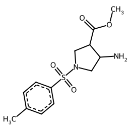 COC(=O)C1CN(S(=O)(=O)c2ccc(C)cc2)CC1N